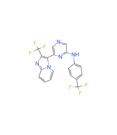 FC(F)(F)c1ccc(Nc2cncc(-c3c(C(F)(F)F)nc4ccccn34)n2)cc1